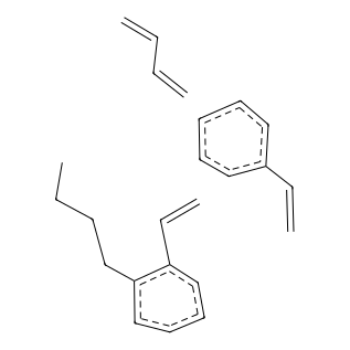 C=CC=C.C=Cc1ccccc1.C=Cc1ccccc1CCCC